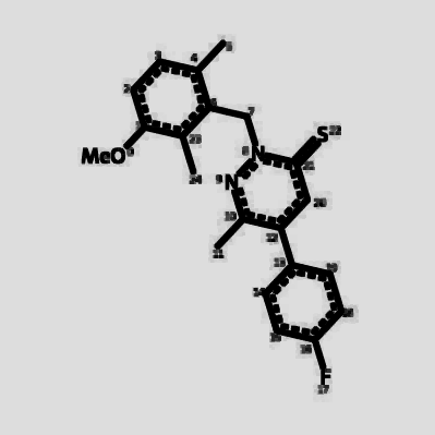 COc1ccc(C)c(Cn2nc(C)c(-c3ccc(F)cc3)cc2=S)c1C